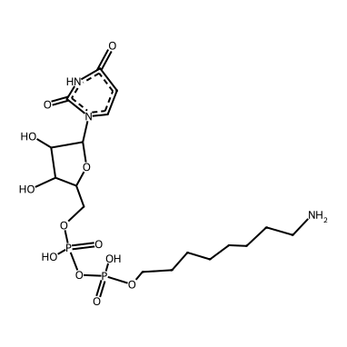 NCCCCCCCCOP(=O)(O)OP(=O)(O)OCC1OC(n2ccc(=O)[nH]c2=O)C(O)C1O